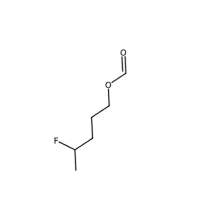 CC(F)CCCOC=O